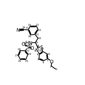 CCOc1ccc2nc(C(Cc3cccc(C#N)c3)NS(=O)(=O)c3ccccc3)sc2c1